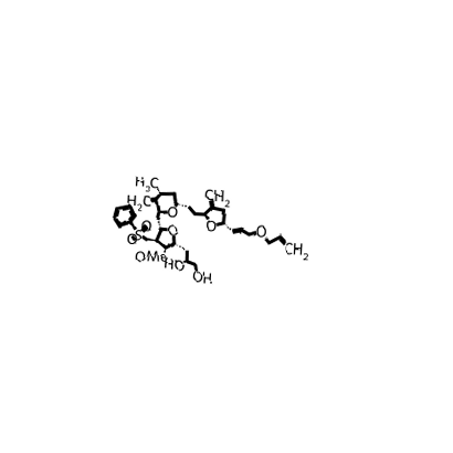 C=CCOC/C=C/[C@H]1CC(=C)C(CC[C@H]2C[C@@H](C)C(=C)C(C[C@@H]3O[C@H](C[C@H](O)CO)[C@H](OC)[C@H]3CS(=O)(=O)c3ccccc3)O2)O1